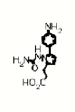 NC(=O)Nn1c(CCC(=O)O)ccc1-c1ccc(N)cc1